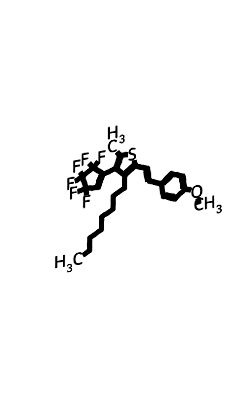 CCCCCCCCc1c(C=Cc2ccc(OC)cc2)sc(C)c1C1=CC(F)(F)C(F)(F)C1(F)F